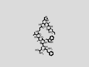 CCCC[C@H](NC(=O)[C@H](C)NC(=O)[C@H](Cc1cnc[nH]1)NC(=O)CCNC(=O)[C@@H](NC(=O)[C@H](C)NC(=O)[C@H](Cc1c[nH]c2ccccc12)NC(=O)[C@H](CCC(N)O)NC(=O)[C@H](N)Cc1ccccc1)C(C)C)C(N)=O